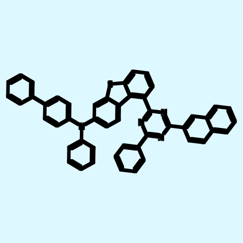 c1ccc(-c2ccc(N(c3ccccc3)c3ccc4c(c3)sc3cccc(-c5nc(-c6ccccc6)nc(-c6ccc7ccccc7c6)n5)c34)cc2)cc1